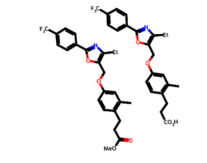 CCc1nc(-c2ccc(C(F)(F)F)cc2)oc1COc1ccc(CCC(=O)O)c(C)c1.CCc1nc(-c2ccc(C(F)(F)F)cc2)oc1COc1ccc(CCC(=O)OC)c(C)c1